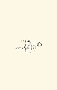 CC(C)CCC(=O)N(C)C(C)CC(NC(=O)OC(C)(C)C)C(O)CCc1ccccc1